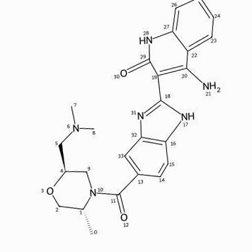 C[C@@H]1CO[C@@H](CN(C)C)CN1C(=O)c1ccc2[nH]c(-c3c(N)c4ccccc4[nH]c3=O)nc2c1